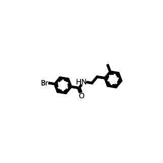 Cc1ccccc1CCNC(=O)c1ccc(Br)cc1